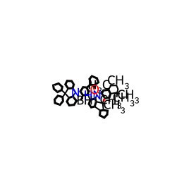 CC1(C)CCC(C)(C)c2cc(Nc3c(-c4c5c(cc6c4oc4ccccc46)N4c6ccccc6C(c6ccccc6)(c6ccccc6)c6cccc(c64)B5)ccc4c3C(C)(C)c3ccccc3-4)ccc21